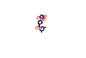 CC1CC(C)CN(C(=O)c2ccc(N3C(=O)CCS3(=O)=O)cc2)C1